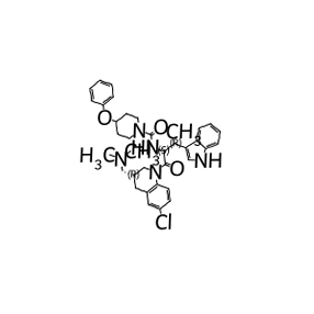 C[C@H](c1c[nH]c2ccccc12)[C@H](NC(=O)N1CCC(Oc2ccccc2)CC1)C(=O)N1C[C@@H](CN(C)C)Cc2cc(Cl)ccc21